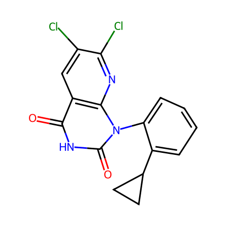 O=c1[nH]c(=O)n(-c2ccccc2C2CC2)c2nc(Cl)c(Cl)cc12